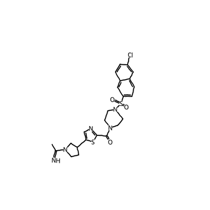 CC(=N)N1CCC(c2cnc(C(=O)N3CCN(S(=O)(=O)c4ccc5cc(Cl)ccc5c4)CC3)s2)C1